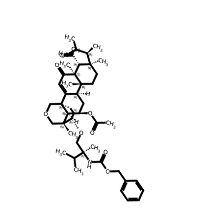 CC(=O)O[C@@H]1C[C@@]23COC[C@](C)([C@@H]2CC[C@H]2C3=CC(=O)[C@@]3(C)[C@H](C(=O)O)[C@@](C)([C@H](C)C(C)C)CC[C@]23C)[C@H]1OC[C@@](C)(NC(=O)OCc1ccccc1)C(C)C